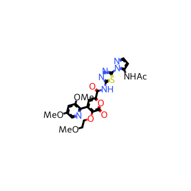 COCCOc1c(-c2ncc(OC)cc2OC)cc(C(=O)Nc2nnc(-n3nccc3NC(C)=O)s2)oc1=O